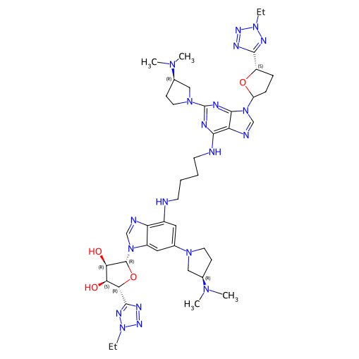 CCn1nnc([C@@H]2CCC(n3cnc4c(NCCCCNc5cc(N6CC[C@@H](N(C)C)C6)cc6c5ncn6[C@@H]5O[C@H](c6nnn(CC)n6)[C@@H](O)[C@H]5O)nc(N5CC[C@@H](N(C)C)C5)nc43)O2)n1